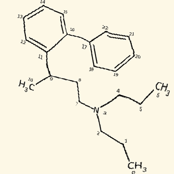 CCCN(CCC)CCC(C)c1ccccc1-c1ccccc1